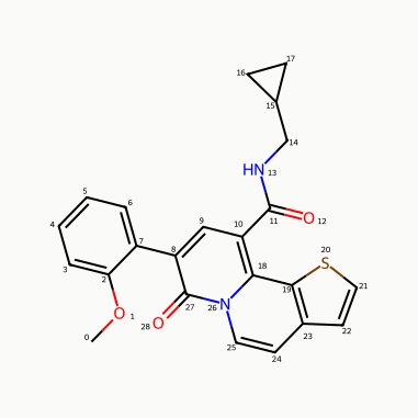 COc1ccccc1-c1cc(C(=O)NCC2CC2)c2c3sccc3ccn2c1=O